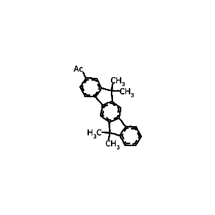 CC(=O)c1ccc2c(c1)C(C)(C)c1cc3c(cc1-2)C(C)(C)c1ccccc1-3